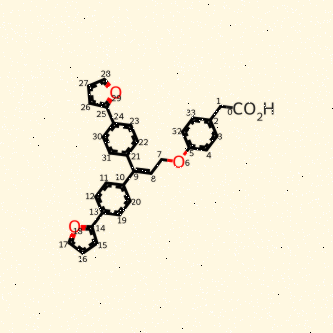 O=C(O)Cc1ccc(OCC=C(c2ccc(-c3ccco3)cc2)c2ccc(-c3ccco3)cc2)cc1